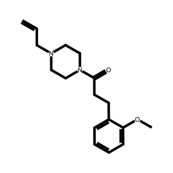 C=CCN1CCN(C(=O)CCc2ccccc2OC)CC1